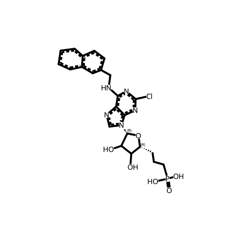 O=P(O)(O)CCC[C@H]1O[C@@H](n2cnc3c(NCc4ccc5ccccc5c4)nc(Cl)nc32)C(O)C1O